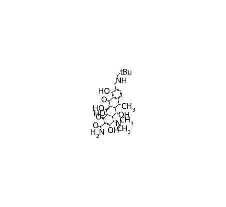 CC1c2ccc(CNCC(C)(C)C)c(O)c2C(=O)C2=C(O)C3(O)C(=O)C(C(N)=O)=C(O)C(N(C)C)C3C(O)C21